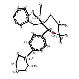 CC(CC(Cc1ccccc1)(C(=O)c1ccc(N2CCOCC2)cc1)N(C)C)C(C)(C)C